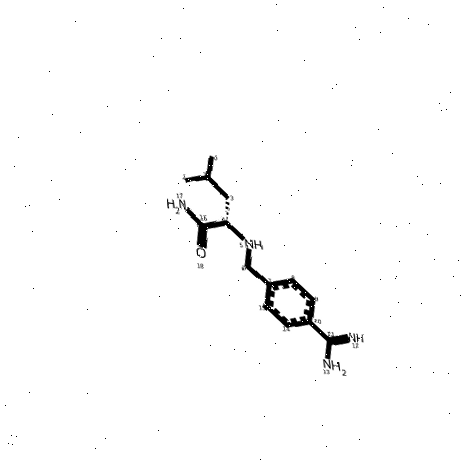 CC(C)C[C@H](NCc1ccc(C(=N)N)cc1)C(N)=O